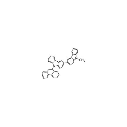 Cn1c2ccccc2c2cc(-c3ccc4c(c3)c3ccccc3n4-c3cc4ccccc4c4ccccc34)ccc21